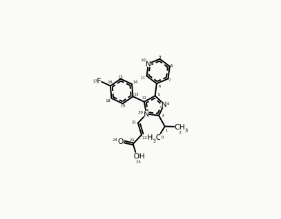 CC(C)c1nc(-c2cccnc2)c(-c2ccc(F)cc2)n1/C=C/C(=O)O